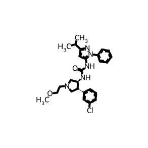 COCCN1C[C@@H](NC(=O)Nc2cc(C(C)C)nn2-c2ccccc2)[C@H](c2cccc(Cl)c2)C1